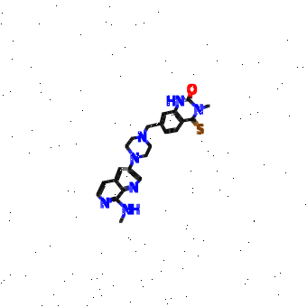 CNc1nccc2cc(N3CCN(Cc4ccc5c(=S)n(C)c(=O)[nH]c5c4)CC3)cnc12